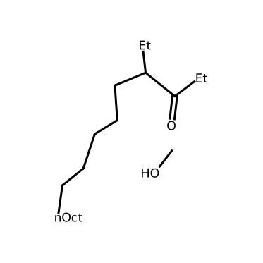 CCCCCCCCCCCCCC(CC)C(=O)CC.CO